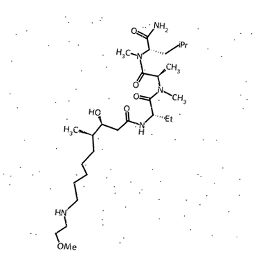 CC[C@H](NC(=O)C[C@H](O)[C@H](C)CCCCCNCCOC)C(=O)N(C)[C@H](C)C(=O)N(C)[C@@H](CC(C)C)C(N)=O